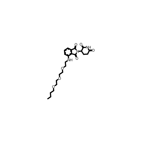 CCCCOCCOCCOCCNc1cccc2c1C(=O)N(C1CCC(=O)NC1=O)C2=O